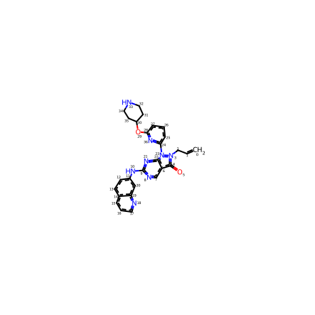 C=CCn1c(=O)c2cnc(Nc3ccc4cccnc4c3)nc2n1-c1cccc(OC2CCNCC2)n1